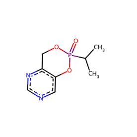 CC(C)P1(=O)OCc2ncncc2O1